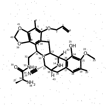 C=CCOc1c(C)c2c(c3c1CC1[C@H]4N[C@@H](Cc5cc(C)c(OC)c(O)c54)[C@H](C#N)N1[C@H]3CNC(=O)[C@H](C)N)OCO2